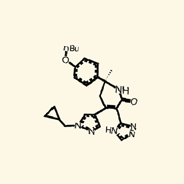 CCCCOc1ccc([C@]2(C)CC(c3cnn(CC4CC4)c3)=C(c3nnc[nH]3)C(=O)N2)cc1